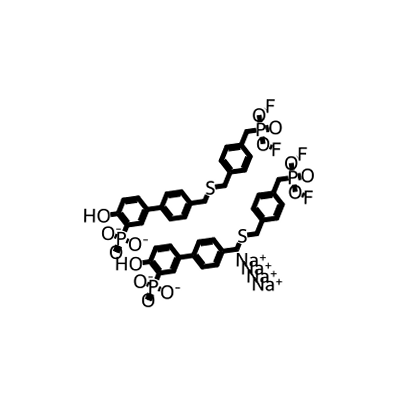 O=P(Cc1ccc(CSCc2ccc(-c3ccc(O)c(P(=O)([O-])[O-])c3)cc2)cc1)(OF)OF.O=P(Cc1ccc(CSCc2ccc(-c3ccc(O)c(P(=O)([O-])[O-])c3)cc2)cc1)(OF)OF.[Na+].[Na+].[Na+].[Na+]